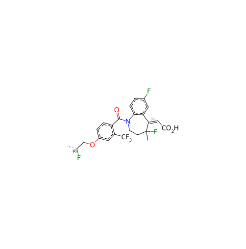 C[C@@H](F)COc1ccc(C(=O)N2CCC(C)(F)/C(=C\C(=O)O)c3cc(F)ccc32)c(C(F)(F)F)c1